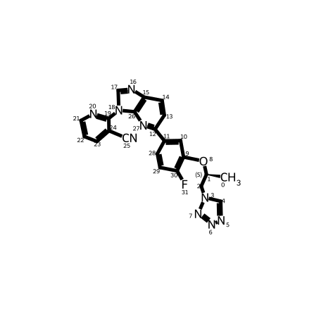 C[C@@H](Cn1cnnn1)Oc1cc(-c2ccc3ncn(-c4ncccc4C#N)c3n2)ccc1F